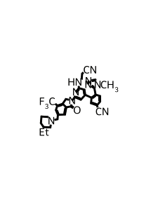 CCC1CCCN(Cc2cc3c(c(C(F)(F)F)c2)CN(c2cc(-c4cc(C#N)ccc4-c4nncn4C)cc(NCCC#N)n2)C3=O)C1